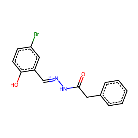 O=C(Cc1ccccc1)N/N=C/c1cc(Br)ccc1O